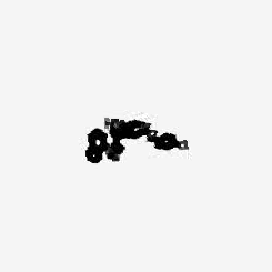 Clc1ccc(COc2cc3c(-c4cncn4C4CCCc5ccccc54)c[nH]c3cn2)cc1